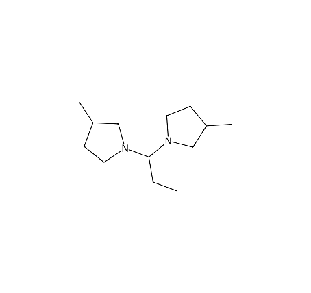 CCC(N1CCC(C)C1)N1CCC(C)C1